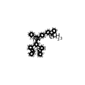 CC1(C)c2ccccc2-c2ccc(-c3ccc(-c4cc(-c5ccccc5)nc(-c5cc(-c6cccc7c6sc6ccccc67)cc(-c6cccc7c6sc6ccccc67)c5)n4)cc3)cc21